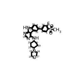 CS(=O)(=O)c1ccc(-c2ccc3[nH]c4ncnc(N[C@H]5CC[C@H](N6CCOCC6)CC5)c4c3c2)cc1F